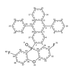 O=P1(c2ccc3c(-c4ccccc4)c4ccccc4c(-c4ccccc4)c3c2)c2cc(F)ccc2Oc2ccc(F)cc21